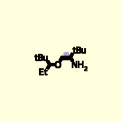 CCC(O/C=C(\N)C(C)(C)C)C(C)(C)C